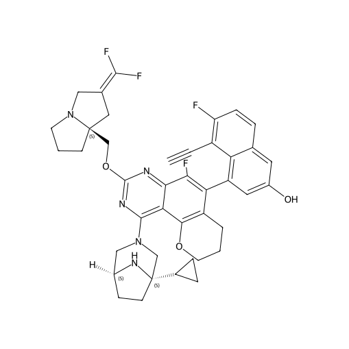 C#Cc1c(F)ccc2cc(O)cc(-c3c4c(c5c(N6C[C@@H]7CC[C@](C8CC8)(C6)N7)nc(OC[C@@]67CCCN6CC(=C(F)F)C7)nc5c3F)OCCC4)c12